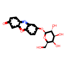 O=c1ccc2nc3cc(O[C@@H]4O[C@H](CO)[C@H](O)[C@H](O)[C@H]4O)ccc3oc-2c1